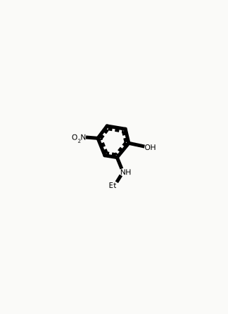 CCNc1cc([N+](=O)[O-])ccc1O